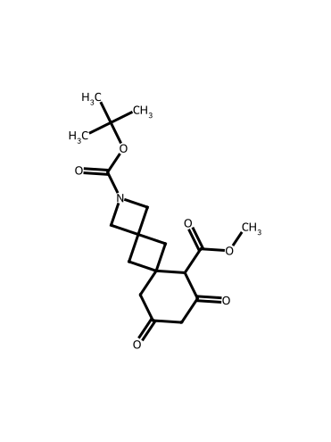 COC(=O)C1C(=O)CC(=O)CC12CC1(CN(C(=O)OC(C)(C)C)C1)C2